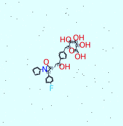 O=C1[C@H](CC[C@H](O)c2ccc(C[C@@H]3O[C@H](CO)[C@@H](O)[C@H](O)[C@H]3O)cc2)[C@@H](c2ccc(F)cc2)N1c1ccccc1